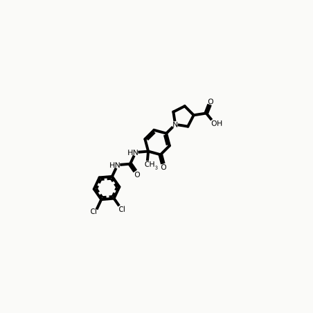 CC1(NC(=O)Nc2ccc(Cl)c(Cl)c2)C=CC(N2CCC(C(=O)O)C2)=CC1=O